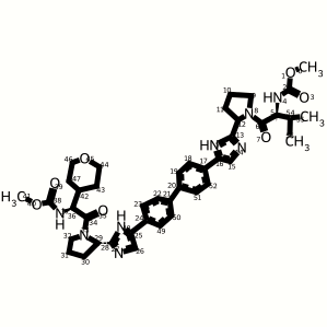 COC(=O)N[C@H](C(=O)N1CCCC1c1ncc(-c2ccc(-c3ccc(-c4cnc([C@@H]5CCCN5C(=O)[C@@H](NC(=O)OC)C5CCOCC5)[nH]4)cc3)cc2)[nH]1)C(C)C